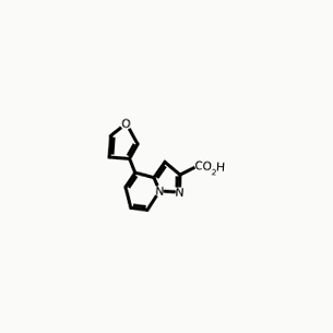 O=C(O)c1cc2c(-c3ccoc3)cccn2n1